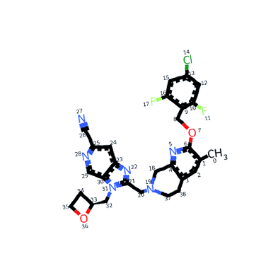 Cc1cc2c(nc1OCc1c(F)cc(Cl)cc1F)CN(Cc1nc3cc(C#N)ncc3n1C[C@@H]1CCO1)CC2